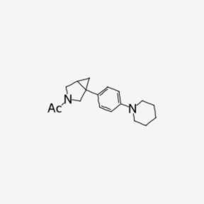 CC(=O)N1CC2CC2(c2ccc(N3CCCCC3)cc2)C1